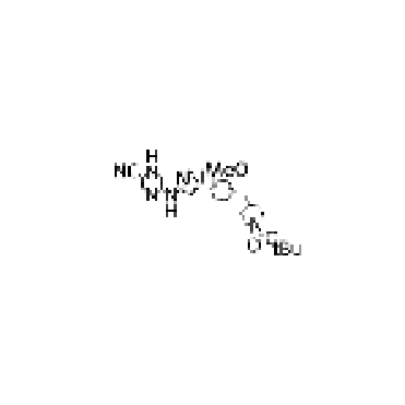 COc1cc(CC2CCN(C(=O)OC(C)(C)C)CC2)ccc1-c1cc(NC2=CNC(C#N)C=N2)n[nH]1